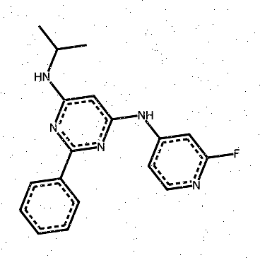 CC(C)Nc1cc(Nc2ccnc(F)c2)nc(-c2ccccc2)n1